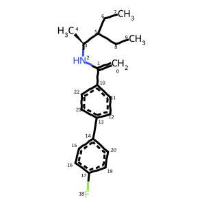 C=C(N[C@@H](C)C(CC)CC)c1ccc(-c2ccc(F)cc2)cc1